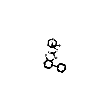 O=C(Nc1c(F)cccc1-c1ccccc1)O[C@H]1CN2CCC1CC2